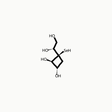 OC[C@@H](O)[C@]1([SeH])C[C@H](O)[C@H]1O